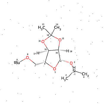 C[SiH](C)O[C@@H]1O[C@H](COC(C)(C)C)[C@H]2OC(C)(C)O[C@@H]12